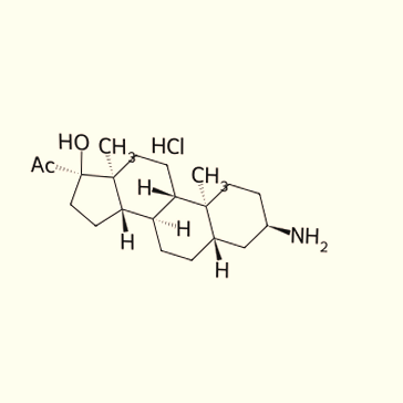 CC(=O)[C@@]1(O)CC[C@H]2[C@@H]3CC[C@H]4C[C@H](N)CC[C@]4(C)[C@H]3CC[C@@]21C.Cl